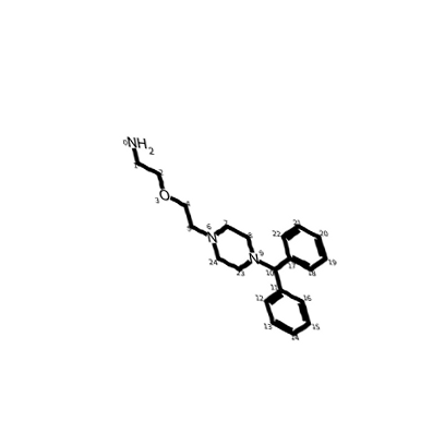 NCCOCCN1CCN(C(c2ccccc2)c2ccccc2)CC1